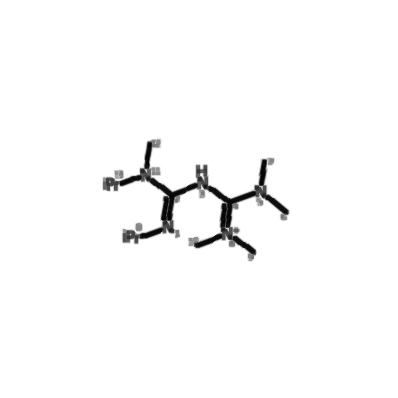 CC(C)N=C(NC(N(C)C)=[N+](C)C)N(C)C(C)C